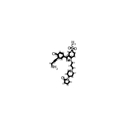 CS(=O)(=O)N1CCc2c(c(-c3ccc(Cl)c(C#CCN)c3)nn2CCCN2CCC(N3CCCC3=O)CC2)C1